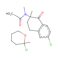 CC1(Cl)CCCCO1.CN(C(=O)C(=O)O)C1(C)CCc2cc(Cl)ccc2C1=O